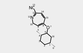 C[C@@H]1CC[C@H](C)C(OC2=CCN=C(C#N)C=C2)C1